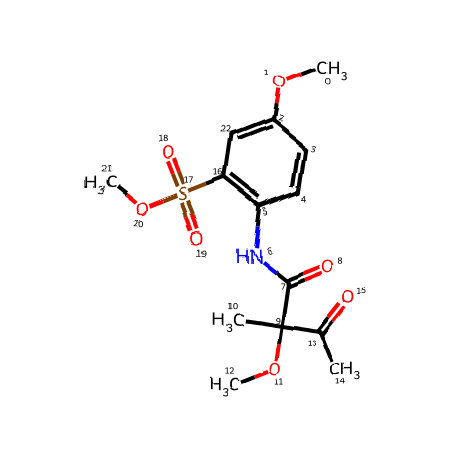 COc1ccc(NC(=O)C(C)(OC)C(C)=O)c(S(=O)(=O)OC)c1